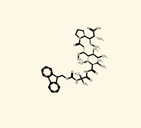 CC[C@H](C)[C@@H]([C@@H](CC(=O)N1CCC[C@H]1[C@H](OC)[C@@H](C)C(=O)O)OC)N(C)[C@H](C(=O)NC(=O)C(C)(C)NC(=O)OCC1c2ccccc2-c2ccccc21)C(C)C